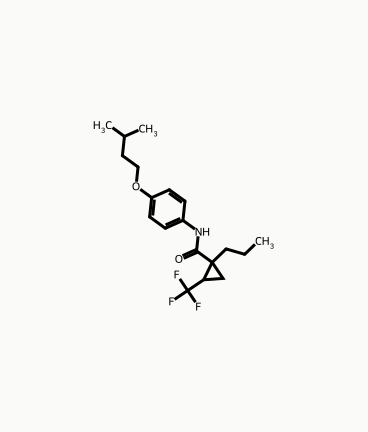 CCCC1(C(=O)Nc2ccc(OCCC(C)C)cc2)CC1C(F)(F)F